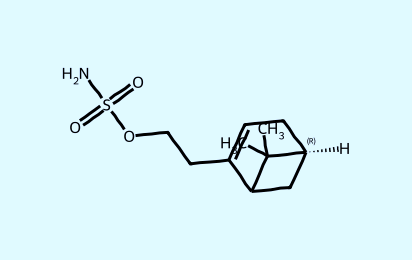 CC1(C)C2C[C@@H]1CC=C2CCOS(N)(=O)=O